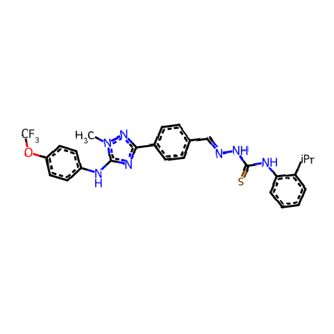 CC(C)c1ccccc1NC(=S)NN=Cc1ccc(-c2nc(Nc3ccc(OC(F)(F)F)cc3)n(C)n2)cc1